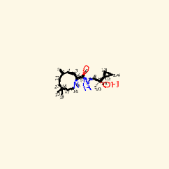 C=C1/C=C\C(C(=O)NC[C@](C)(O)C2CC2)=N/CCC(C)(C)CC1